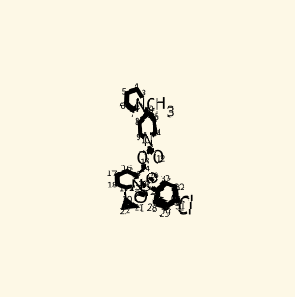 CC1(N2CCCCC2)CCN(C(=O)OC[C@@H]2CCC[C@H](C3CC3)N2S(=O)(=O)c2ccc(Cl)cc2)CC1